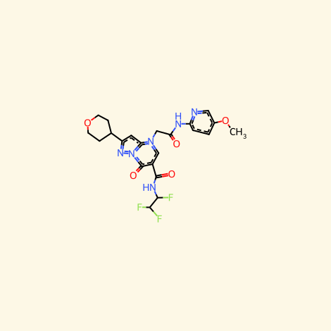 COc1ccc(NC(=O)Cn2cc(C(=O)NC(F)C(F)F)c(=O)n3nc(C4CCOCC4)cc23)nc1